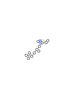 c1ccc(C2(c3ccccc3)c3ccccc3-c3c(-c4ccc(-c5ccc(-c6ccc(-c7cc8c9ccc%10ccccc%10c9sc8c8nc9ccccc9n78)cc6)c6ccccc56)cc4)cccc32)cc1